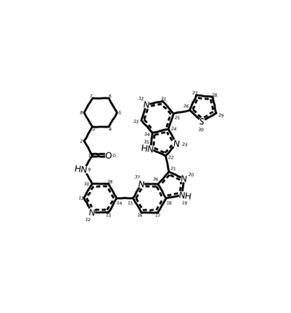 O=C(CC1CCCCC1)Nc1cncc(-c2ccc3[nH]nc(-c4nc5c(-c6cccs6)cncc5[nH]4)c3n2)c1